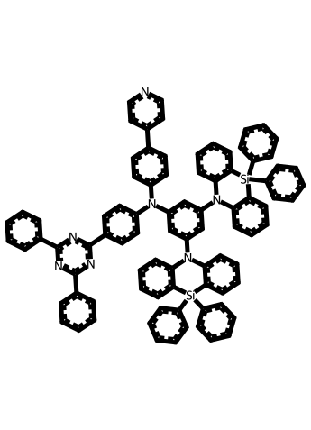 c1ccc(-c2nc(-c3ccccc3)nc(-c3ccc(N(c4ccc(-c5ccncc5)cc4)c4cc(N5c6ccccc6[Si](c6ccccc6)(c6ccccc6)c6ccccc65)cc(N5c6ccccc6[Si](c6ccccc6)(c6ccccc6)c6ccccc65)c4)cc3)n2)cc1